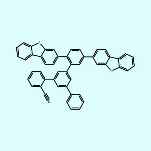 N#Cc1ccccc1-c1cc(-c2ccccc2)cc(-c2cc(-c3ccc4c(c3)sc3ccccc34)ccc2-c2ccc3c(c2)sc2ccccc23)c1